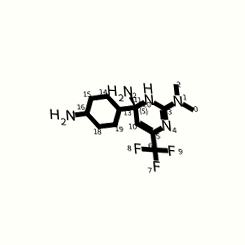 CN(C)C1=NC(C(F)(F)F)=C[C@](N)(C2CCC(N)CC2)N1